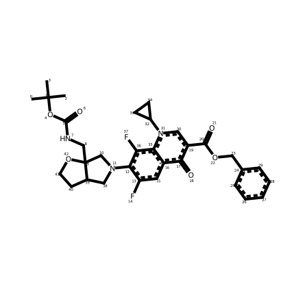 CC(C)(C)OC(=O)NCC12CN(c3c(F)cc4c(=O)c(C(=O)OCc5ccccc5)cn(C5CC5)c4c3F)CC1CCO2